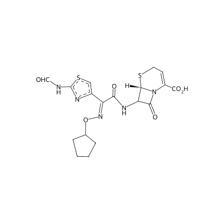 O=CNc1nc(C(=NOC2CCCC2)C(=O)NC2C(=O)N3C(C(=O)O)=CCS[C@@H]23)cs1